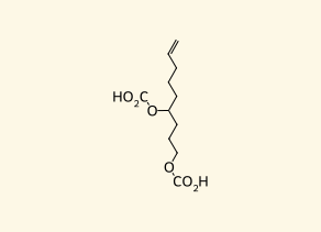 C=CCCCC(CCCOC(=O)O)OC(=O)O